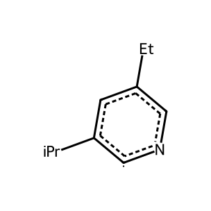 CCc1cn[c]c(C(C)C)c1